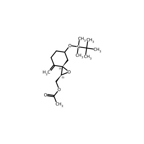 C=C1CCC(O[Si](C)(C)C(C)(C)C)C[C@]12O[C@H]2COC(C)=O